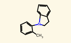 Cc1ccccc1N1CCc2ccccc21